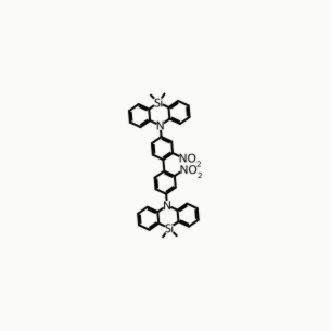 C[Si]1(C)c2ccccc2N(c2ccc(-c3ccc(N4c5ccccc5[Si](C)(C)c5ccccc54)cc3[N+](=O)[O-])c([N+](=O)[O-])c2)c2ccccc21